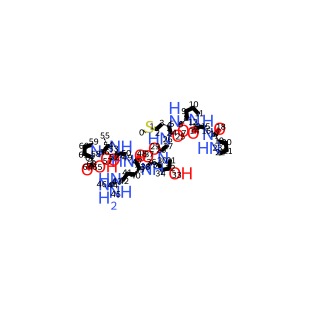 CSCC[C@H](NC(=O)[C@@H]1CCCN1C(=O)CNC(=O)[C@@H]1CCCN1)C(=O)NCC(=O)N1C[C@H](O)C[C@H]1C(=O)N[C@@H](CCCNC(=N)N)C(=O)NCC(=O)N[C@@H](C)C(=O)N1CCC[C@H]1C(=O)O